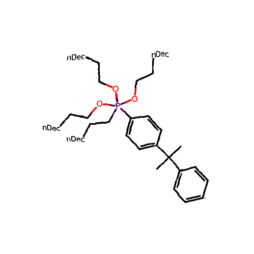 CCCCCCCCCCCCOP(CCCCCCCCCCCC)(OCCCCCCCCCCCC)(OCCCCCCCCCCCC)c1ccc(C(C)(C)c2cc[c]cc2)cc1